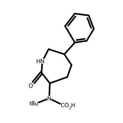 CC(C)(C)N(C(=O)O)C1CCC(c2ccccc2)CNC1=O